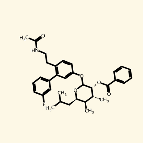 CC(=O)NCCc1ccc(OC2O[C@H](CC(C)C)[C@H](C)[C@@H](C)[C@H]2OC(=O)c2ccccc2)cc1-c1cccc(F)c1